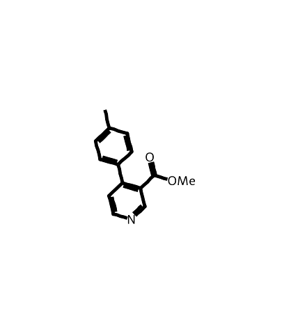 COC(=O)c1cnccc1-c1ccc(C)cc1